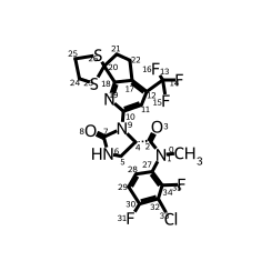 CN(C(=O)[C@@H]1CNC(=O)N1c1cc(C(F)(F)F)c2c(n1)C1(CC2)SCCS1)c1ccc(F)c(Cl)c1F